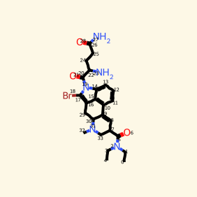 CCN(CC)C(=O)C1C=C2c3cccc4c3c(c(Br)n4C(=O)C(N)CCC(N)=O)CC2N(C)C1